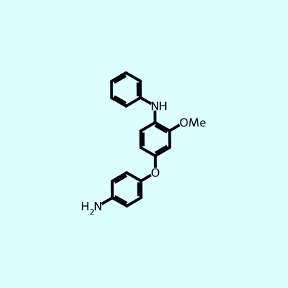 COc1cc(Oc2ccc(N)cc2)ccc1Nc1ccccc1